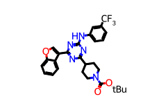 CC(C)(C)OC(=O)N1CCC(c2nc(Nc3cccc(C(F)(F)F)c3)nc(-c3coc4ccccc34)n2)CC1